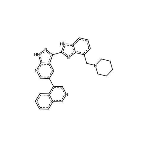 c1ccc2c(-c3cnc4[nH]nc(-c5nc6c(CN7CCCCC7)cccc6[nH]5)c4c3)cncc2c1